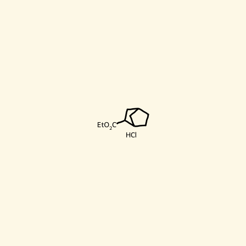 CCOC(=O)C1CC2CCC1C2.Cl